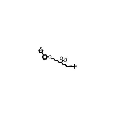 COC(=O)C(=CCCCCOc1cccc(-c2ccsc2)c1)CC=CC#CC(C)(C)C